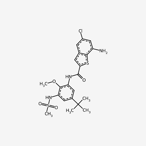 COc1c(NC(=O)c2cc3cc(Cl)cc(N)c3s2)cc(C(C)(C)C)cc1NS(C)(=O)=O